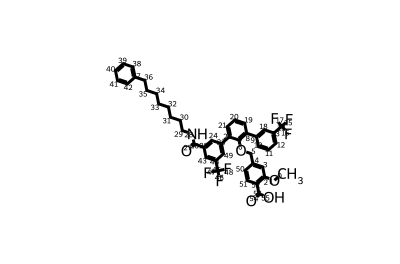 COc1cc(COc2c(-c3cccc(C(F)(F)F)c3)cccc2-c2cc(C(=O)NCCCCCCCCc3ccccc3)cc(C(F)(F)F)c2)ccc1C(=O)O